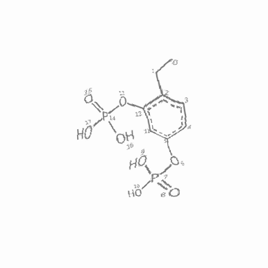 CCc1ccc(OP(=O)(O)O)cc1OP(=O)(O)O